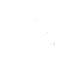 C=CC=C1C(c2ccc(F)cc2)CCCN1C(=O)OC(C)(C)C